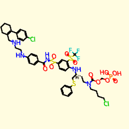 O=C(NS(=O)(=O)c1ccc(N[C@H](CCN(CCCCCl)C(=O)OCOP(=O)(O)O)CSc2ccccc2)c(S(=O)(=O)C(F)(F)F)c1)c1ccc(NCCNCC2=C(c3ccc(Cl)cc3)CCCC2)cc1